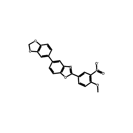 COc1ccc(-c2nc3cc(-c4ccc5c(c4)OCO5)ccc3o2)cc1[N+](=O)[O-]